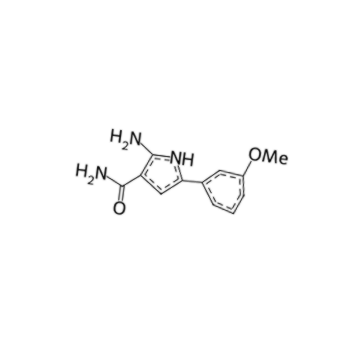 COc1cccc(-c2cc(C(N)=O)c(N)[nH]2)c1